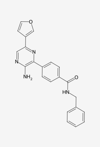 Nc1ncc(-c2ccoc2)nc1-c1ccc(C(=O)NCc2ccccc2)cc1